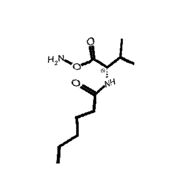 CCCCCC(=O)N[C@H](C(=O)ON)C(C)C